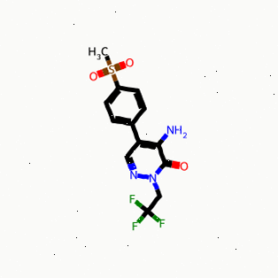 CS(=O)(=O)c1ccc(-c2cnn(CC(F)(F)F)c(=O)c2N)cc1